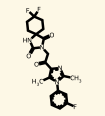 Cc1nc(C(=O)CN2C(=O)NC3(CCC(F)(F)CC3)C2=O)c(C)n1-c1cccc(F)c1